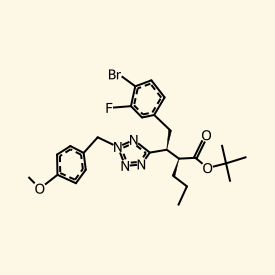 CCC[C@H](C(=O)OC(C)(C)C)[C@H](Cc1ccc(Br)c(F)c1)c1nnn(Cc2ccc(OC)cc2)n1